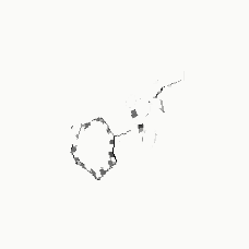 O=S(=O)(N[CH]F)c1cccnc1